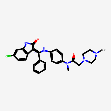 CCCN1CCN(CC(=O)N(C)c2ccc(N/C(=C3\C(=O)Nc4cc(Cl)ccc43)c3ccccc3)cc2)CC1